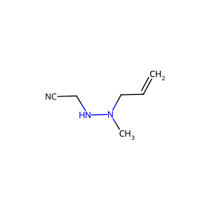 C=CCN(C)NCC#N